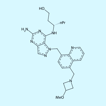 CCC[C@@H](CCO)Nc1nc(N)nc2cnn(Cc3ccc(CN4CC(OC)C4)c4cccnc34)c12